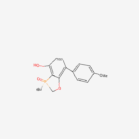 COc1ccc(-c2ccc(O)c3c2OC[P@]3(=O)C(C)(C)C)cc1